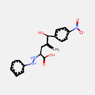 C=C(CC(NNc1ccccc1)C(=O)O)C(O)c1ccc([N+](=O)[O-])cc1